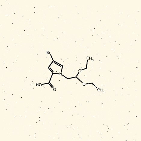 CCOC(Cn1cc(Br)cc1C(=O)O)OCC